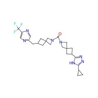 O=C(N1CC2(CC(Cc3cnc(C(F)(F)F)cn3)C2)C1)N1CC2(CC(c3nnc(C4CC4)[nH]3)C2)C1